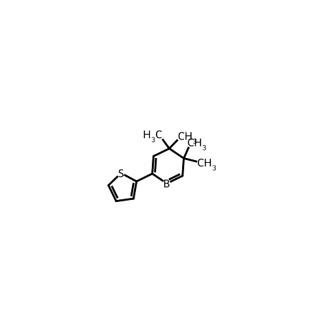 CC1(C)C=BC(c2cccs2)=CC1(C)C